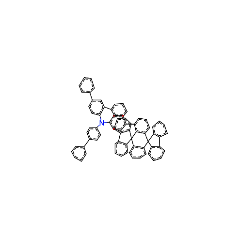 c1ccc(-c2ccc(N(c3ccc(-c4cccc5c4C4(c6ccccc6-c6ccccc64)c4ccccc4C54c5ccccc5-c5ccccc54)cc3)c3ccc(-c4ccccc4)cc3-c3ccccc3)cc2)cc1